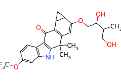 CC(CO)[C@H](O)COC1=CC2=C(C(=O)c3c([nH]c4cc(OC(F)(F)F)ccc34)C2(C)C)C2CC12